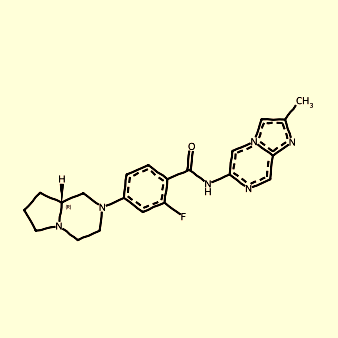 Cc1cn2cc(NC(=O)c3ccc(N4CCN5CCC[C@@H]5C4)cc3F)ncc2n1